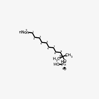 CCCCCCCCCCCCCCCCCCC(C)(C)O[PH](=O)O